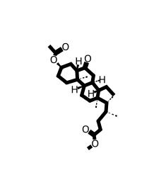 COC(=O)CC[C@@H](C)[C@H]1CC[C@H]2[C@@H]3CC(=O)[C@H]4C[C@H](OC(C)=O)CC[C@]4(C)[C@H]3CC[C@]12C